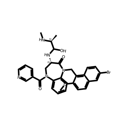 CN[C@@H](C)C(O)N[C@H]1CN(C(=O)c2cccnc2)c2ccccc2N(Cc2c(OC)ccc3cc(Br)ccc23)C1=O